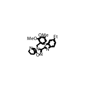 CCc1ccc2nc(C3=NOC4(CN5CCC4CC5)N3Cc3ccc(OC)cc3OC)sc2c1